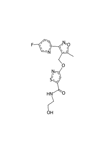 Cc1onc(-c2ccc(F)cn2)c1COc1cc(C(=O)NCCO)sn1